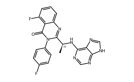 C[C@H](Nc1ncnc2[nH]cnc12)c1nc2cccc(F)c2c(=O)n1-c1ccc(F)cc1